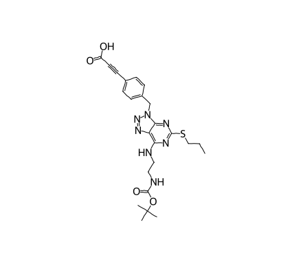 CCCSc1nc(NCCNC(=O)OC(C)(C)C)c2nnn(Cc3ccc(C#CC(=O)O)cc3)c2n1